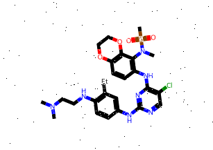 CCc1cc(Nc2ncc(Cl)c(Nc3ccc4c(c3N(C)S(C)(=O)=O)OCCO4)n2)ccc1NCCN(C)C